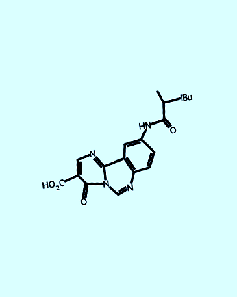 CCC(C)C(C)C(=O)Nc1ccc2ncn3c(=O)c(C(=O)O)cnc3c2c1